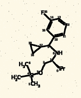 CC(C)[C@@H](CO[Si](C)(C)C)NC(c1cccc(F)c1)C1CC1